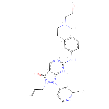 C=CCn1c(=O)c2cnc(Nc3ccc4c(c3)CCN(CCO)C4)nc2n1-c1ccnc(C(C)(C)C)c1